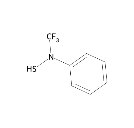 FC(F)(F)N(S)c1ccccc1